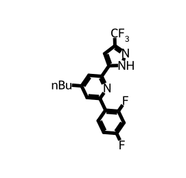 CCCCc1cc(-c2cc(C(F)(F)F)n[nH]2)nc(-c2ccc(F)cc2F)c1